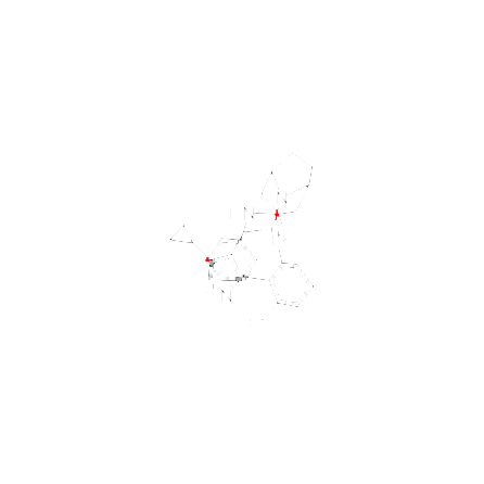 O=C(Nc1ccccc1)N1C2CCC1CC(OCc1c(-c3c(Cl)cccc3Cl)noc1C1CC1)C2